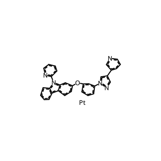 [Pt].c1ccc(-n2c3ccccc3c3ccc(Oc4cccc(-n5cc(-c6cccnc6)cn5)c4)cc32)nc1